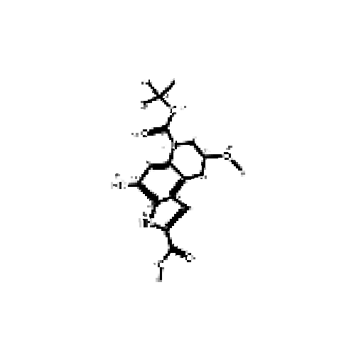 COC(=O)c1cc2c3c(cc(O)c2[nH]1)N(C(=O)OC(C)(C)C)CC(OC)C3